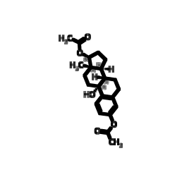 CC(=O)Oc1ccc2c(c1)CC[C@H]1[C@@H]3CC[C@H](OC(C)=O)[C@@]3(C)CC[C@]21O